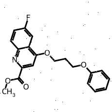 COC(=O)c1cc(OCCCOc2ccccc2)c2cc(F)ccc2n1